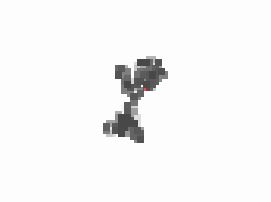 c1ccc(-c2nc(-c3ccccc3)nc(-c3ccc(-c4ccc5c(c4)nc(-c4ccccc4)c4cc6c(cc45)C4(c5ccccc5O6)c5ccccc5-c5ccccc54)cc3)n2)cc1